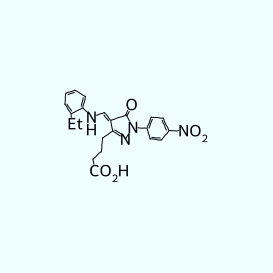 CCc1ccccc1NC=C1C(=O)N(c2ccc([N+](=O)[O-])cc2)N=C1CCCC(=O)O